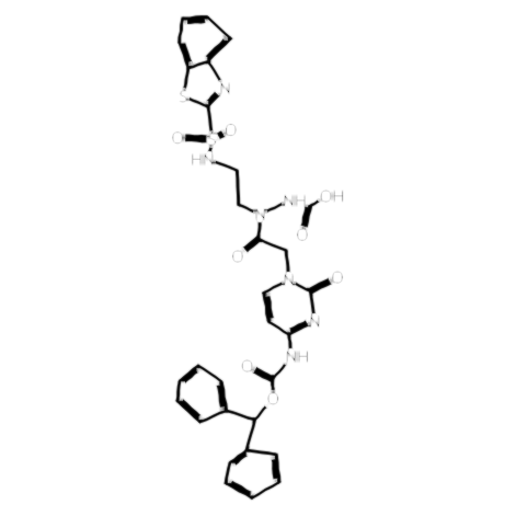 O=C(O)NN(CCNS(=O)(=O)c1nc2ccccc2s1)C(=O)Cn1ccc(NC(=O)OC(c2ccccc2)c2ccccc2)nc1=O